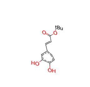 CC(C)(C)OC(=O)/C=C/c1ccc(O)c(O)c1